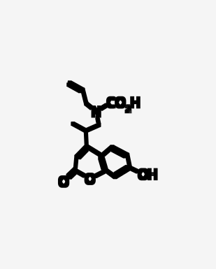 C=CCN(CC(C)c1cc(=O)oc2cc(O)ccc12)C(=O)O